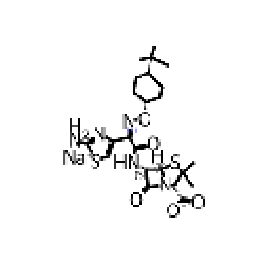 CC1(C)S[C@@H]2[C@@H](NC(=O)/C(=N\O[C@H]3CC[C@H](C(C)(C)C)CC3)c3csc(N)n3)C(=O)N2[C@H]1C(=O)[O-].[Na+]